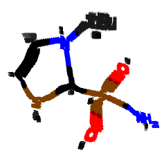 CC(C)(C)N1C=CSC1S(N)(=O)=O